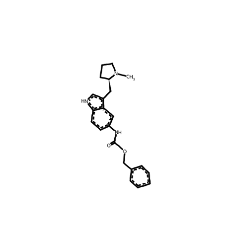 CN1CCC[C@@H]1Cc1c[nH]c2ccc(NC(=O)OCc3ccccc3)cc12